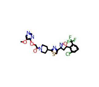 COc1cncnc1OCC(=O)N1CCC(c2nc(C3=NOC(c4c(Cl)cccc4C(F)(F)F)C3)cs2)CC1